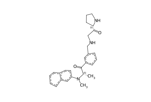 C[C@@H](C(=O)c1cccc(CNCC(=O)[C@@H]2CCCN2)c1)N(C)c1ccc2ccccc2c1